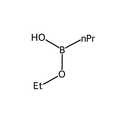 CCCB(O)OCC